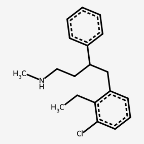 CCc1c(Cl)cccc1CC(CCNC)c1ccccc1